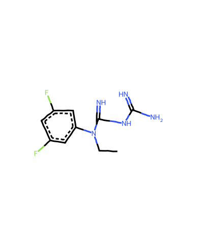 CCN(C(=N)NC(=N)N)c1cc(F)cc(F)c1